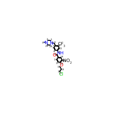 CN1CCN(Cc2ccc(NC(=O)c3ccc(OCCCCl)c([N+](=O)[O-])c3)cc2C(F)(F)F)CC1